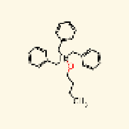 CCCC[O][Hf]([CH2]c1ccccc1)([CH2]c1ccccc1)[CH2]c1ccccc1